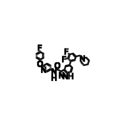 O=C(Nc1ccc(Oc2ccc(F)cc2)nc1)c1n[nH]c2ccc(-c3cc(CN4CCCCC4)cc(F)c3F)cc12